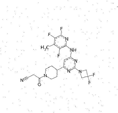 Cc1c(F)c(F)nc(Nc2cc(C3CCN(C(=O)CC#N)CC3)nc(N3CC(F)(F)C3)n2)c1F